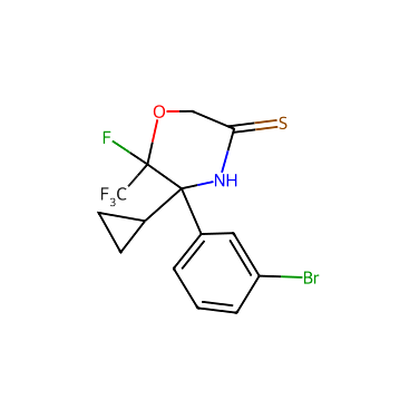 FC(F)(F)C1(F)OCC(=S)NC1(c1cccc(Br)c1)C1CC1